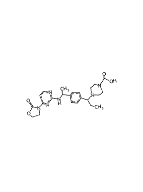 CCC(c1ccc(C(C)Nc2nccc(N3CCOC3=O)n2)cc1)N1CCN(C(=O)O)CC1